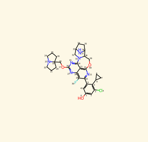 Oc1cc(Cl)c(C2CC2)c(-c2nc3c4c(nc(OCC56CCCN5CCC6)nc4c2F)N2CC4CCC(N4)C2CO3)c1